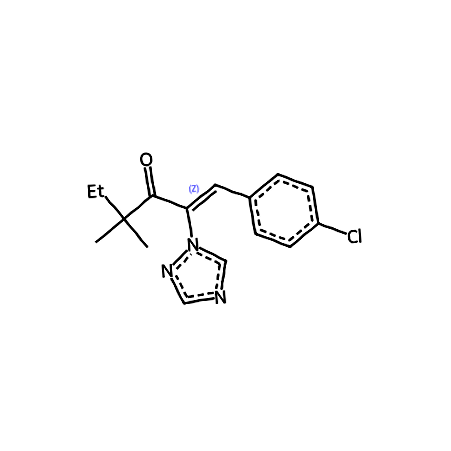 CCC(C)(C)C(=O)/C(=C/c1ccc(Cl)cc1)n1cncn1